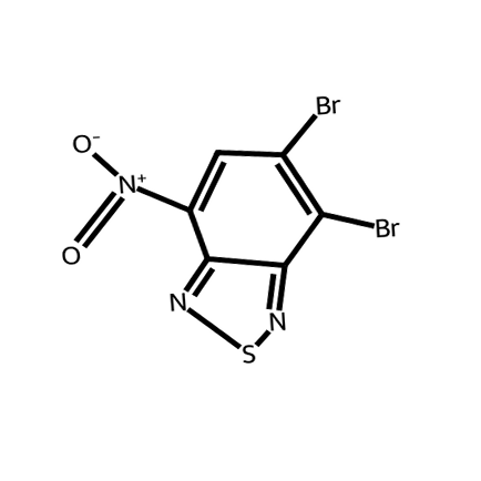 O=[N+]([O-])c1cc(Br)c(Br)c2nsnc12